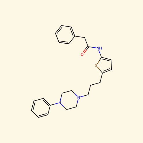 O=C(Cc1ccccc1)Nc1ccc(CCCN2CCN(c3ccccc3)CC2)s1